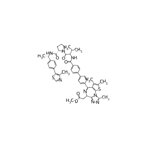 COC(=O)CC1N=C(c2ccc(-c3ccc(C(=O)NC(C(=O)N4CCC[C@H]4C(=O)N[C@@H](C)c4ccc(-c5scnc5C)cc4)C(C)C)cc3)cc2)c2c(sc(C)c2C)-n2c(C)nnc21